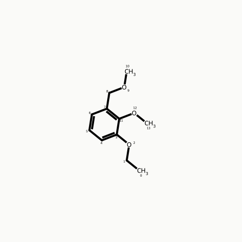 CCOc1cccc(COC)c1OC